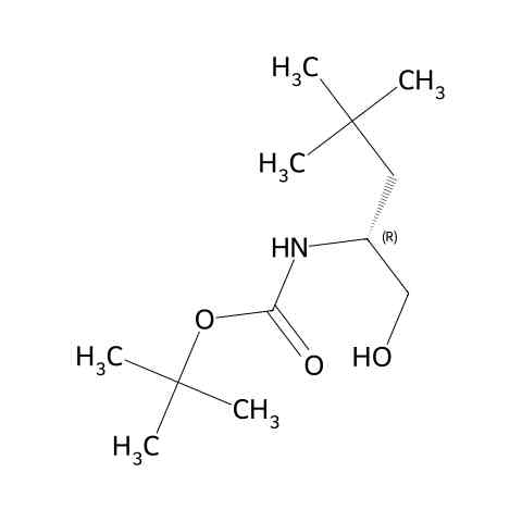 CC(C)(C)C[C@H](CO)NC(=O)OC(C)(C)C